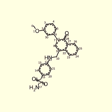 COc1cccc(-n2cc(CNc3ccc(S(N)(=O)=O)cc3)c3ccccc3c2=O)c1